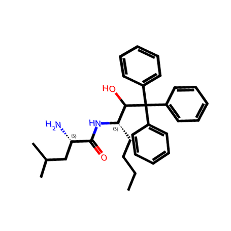 CCCC[C@H](NC(=O)[C@@H](N)CC(C)C)C(O)C(c1ccccc1)(c1ccccc1)c1ccccc1